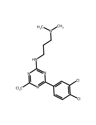 CN(C)CCCNc1nc(-c2ccc(Cl)c(Cl)c2)nc(C(Cl)(Cl)Cl)n1